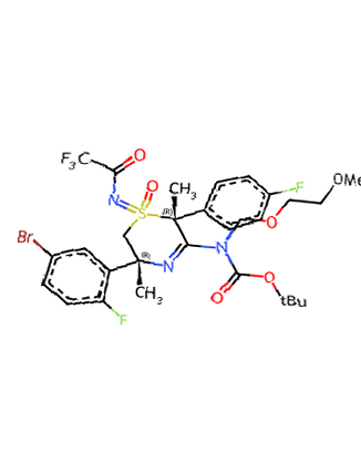 COCCOCN(C(=O)OC(C)(C)C)C1=N[C@](C)(c2cc(Br)ccc2F)CS(=O)(=NC(=O)C(F)(F)F)[C@]1(C)c1ccc(F)cc1